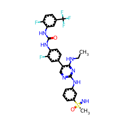 CCNc1nc(Nc2cccc(S(C)(=N)=O)c2)ncc1-c1ccc(NC(=O)Nc2cc(C(F)(F)F)ccc2F)c(F)c1